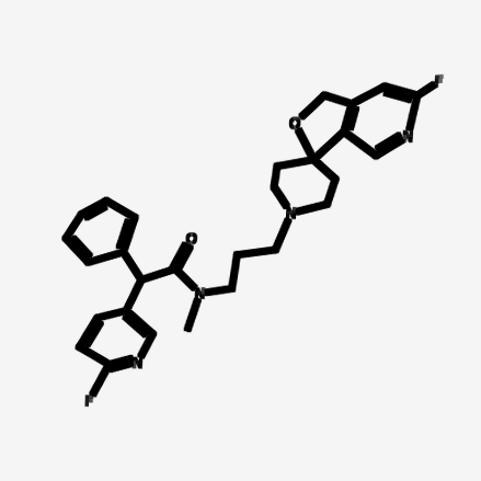 CN(CCCN1CCC2(CC1)OCc1cc(F)ncc12)C(=O)C(c1ccccc1)c1ccc(F)nc1